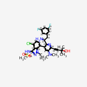 CN(C)c1cc(-c2ccc(Cl)c3c(NS(C)(=O)=O)nn(C)c23)c(C(N)Cc2cc(F)cc(F)c2)nc1C#CC(C)(C)O